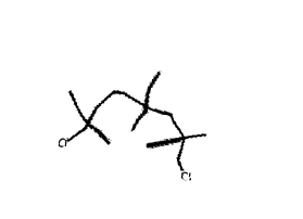 CC(C)(Cl)CC(C)(C)CC(C)(C)Cl